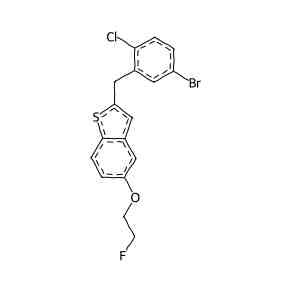 FCCOc1ccc2sc(Cc3cc(Br)ccc3Cl)cc2c1